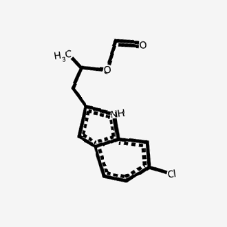 CC(Cc1cc2ccc(Cl)cc2[nH]1)OC=O